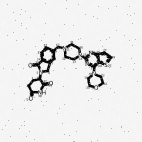 O=C1CCC(N2Cc3cc(CN4CCN(c5nc(N6CCOCC6)c6sccc6n5)CC4)ccc3C2=O)C(=O)N1